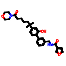 CC(C)(CCCCC(=O)N1CCOCC1)c1ccc(-c2cccc(CNC(=O)c3ccoc3)c2)c(O)c1